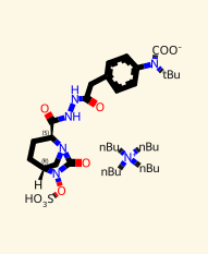 CC(C)(C)N(C(=O)[O-])c1ccc(CC(=O)NNC(=O)[C@@H]2CC[C@@H]3CN2C(=O)N3OS(=O)(=O)O)cc1.CCCC[N+](CCCC)(CCCC)CCCC